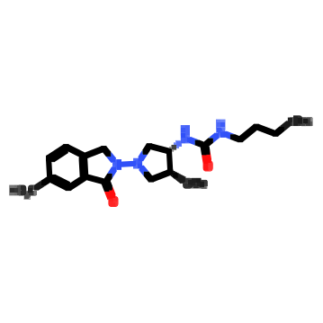 CCCCCCCCCCCCCNC(=O)N[C@H]1CN(N2Cc3ccc(C(=O)O)cc3C2=O)C[C@@H]1OC